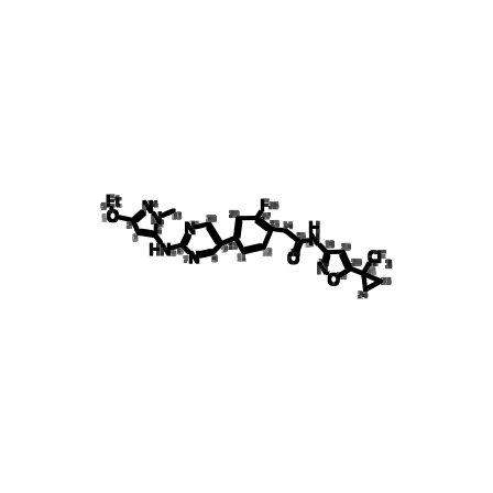 CCOc1cc(Nc2ncc(-c3ccc(CC(=O)Nc4cc(C5(C(F)(F)F)CC5)on4)c(F)c3)cn2)n(C)n1